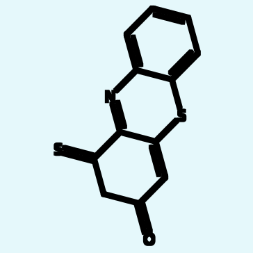 O=C1C=C2Sc3ccccc3N=C2C(=S)C1